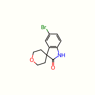 O=C1Nc2ccc(Br)cc2C12CCOCC2